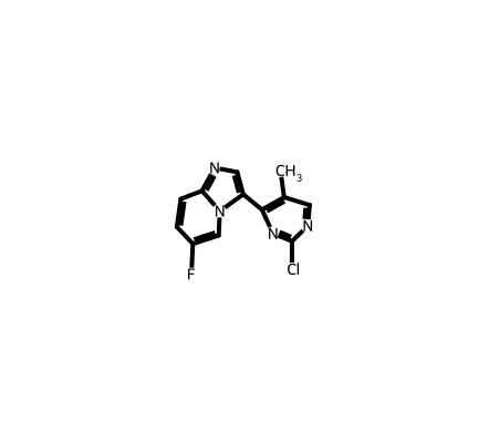 Cc1cnc(Cl)nc1-c1cnc2ccc(F)cn12